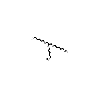 CCCCCCOCC(COCCCCCC)OCCCCCC